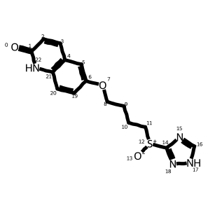 O=c1ccc2cc(OCCCC[S+]([O-])c3nc[nH]n3)ccc2[nH]1